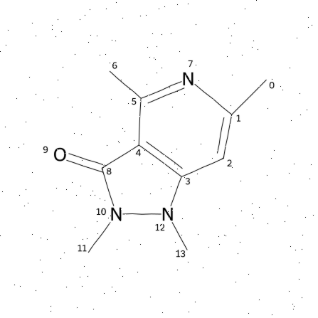 Cc1cc2c(c(C)n1)c(=O)n(C)n2C